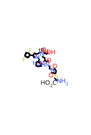 CC(C)(C)C(c1cc(-c2cc(F)ccc2F)cn1Cc1ccccc1)N(CCC(N)C(=O)NCCN1C(=O)CC(SCC(N)C(=O)O)C1=O)C(=O)CO